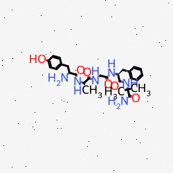 C[C@@H](NC(=O)C(N)Cc1ccc(O)cc1)C(=O)NCC(=O)N[C@@H](Cc1ccccc1)C(=O)NC(C)(C)C(N)=O